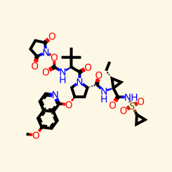 CC[C@@H]1C[C@]1(NC(=O)[C@@H]1C[C@@H](Oc2nccc3cc(OC)ccc23)CN1C(=O)[C@@H](NC(=O)ON1C(=O)CCC1=O)C(C)(C)C)C(=O)NS(=O)(=O)C1CC1